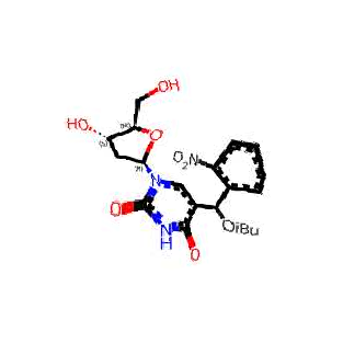 CC(C)COC(c1ccccc1[N+](=O)[O-])c1cn([C@H]2C[C@H](O)[C@@H](CO)O2)c(=O)[nH]c1=O